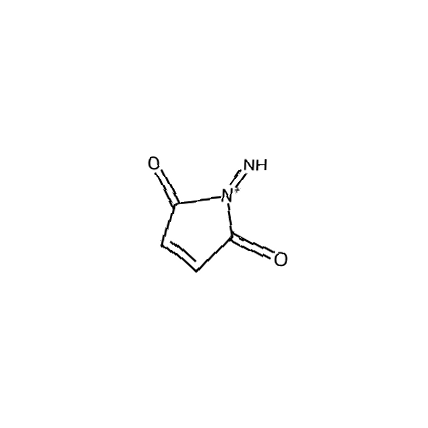 N=[N+]1C(=O)C=CC1=O